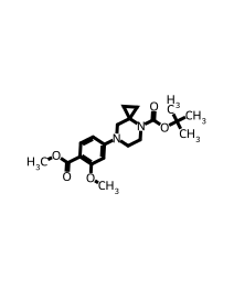 COC(=O)c1ccc(N2CCN(C(=O)OC(C)(C)C)C3(CC3)C2)cc1OC